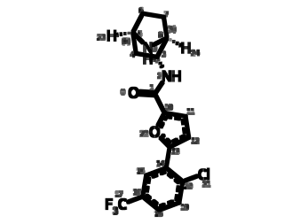 O=C(N[C@@H]1C[C@H]2CC[C@@H]1N2)c1ccc(-c2cc(C(F)(F)F)ccc2Cl)o1